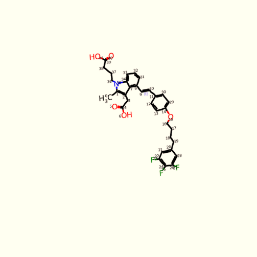 Cc1c(CC(=O)O)c2c(/C=C/c3ccc(OCCCCc4cc(F)c(F)c(F)c4)cc3)cccc2n1CCCC(=O)O